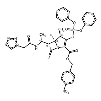 C[C@@H](NC(=O)Cn1cnnn1)[C@H]1C(=O)N2C(C(=O)OCc3ccc([N+](=O)[O-])cc3)=C(OP(=O)(Oc3ccccc3)Oc3ccccc3)[C@H](C)[C@H]12